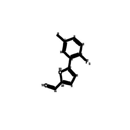 Cc1ccc(F)c(-c2ccc(C=O)o2)c1